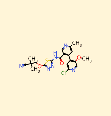 COc1cnc(Cl)cc1-c1cc(C)ncc1C(=O)Nc1nnc(OCC(C)(C)C#N)s1